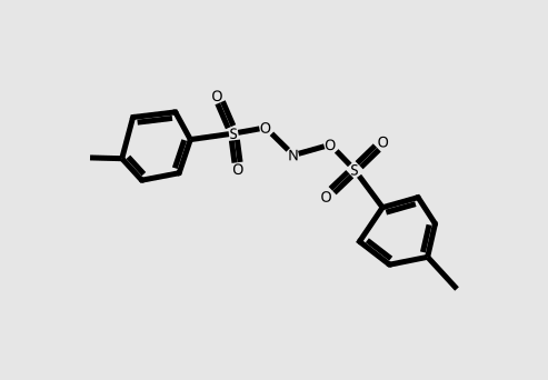 Cc1ccc(S(=O)(=O)O[N]OS(=O)(=O)c2ccc(C)cc2)cc1